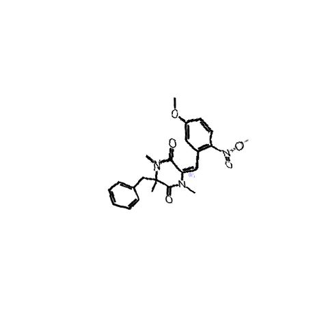 COc1ccc([N+](=O)[O-])c(/C=C2\C(=O)N(C)C(C)(Cc3ccccc3)C(=O)N2C)c1